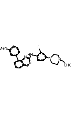 CNc1cccc(-c2cccc3cnc(Nc4ccc(N5CCN(CC=O)CC5)cc4F)nc23)c1